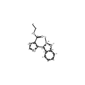 CCOC(=O)c1ncoc1-c1c2ccccc2nn1C